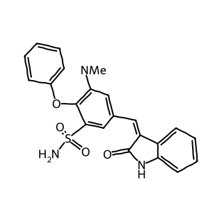 CNc1cc(C=C2C(=O)Nc3ccccc32)cc(S(N)(=O)=O)c1Oc1ccccc1